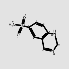 NS(=O)(=O)c1ccc2c(c1)C=NCN2